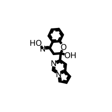 O/N=C1/CC(O)(c2cc3cccn3cn2)Oc2ccccc21